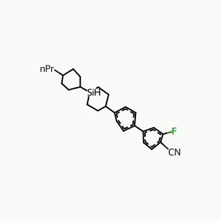 CCCC1CCC([SiH]2CCC(c3ccc(-c4ccc(C#N)c(F)c4)cc3)CC2)CC1